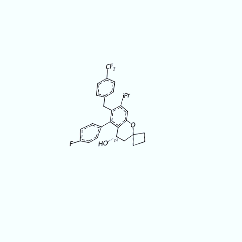 CC(C)c1cc2c(c(-c3ccc(F)cc3)c1Cc1ccc(C(F)(F)F)cc1)[C@@H](O)CC1(CCC1)O2